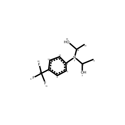 CC(O)N(c1ccc(C(F)(F)F)cc1)C(C)O